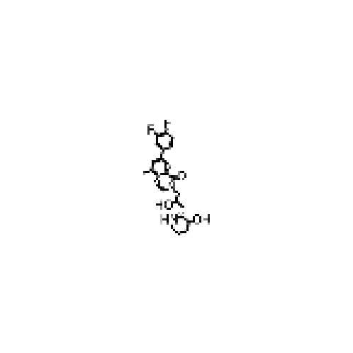 Cc1cc(-c2ccc(F)c(F)c2)nc2c(=O)n(CC(O)C[C@H]3NCCC[C@@H]3O)cnc12